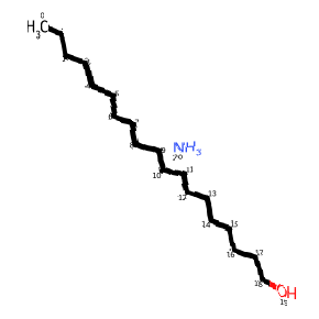 CCCCCCCCCCCCCCCC[CH]CCO.N